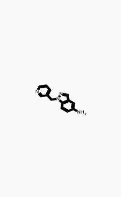 Nc1ccc2c(cnn2Cc2cccnc2)c1